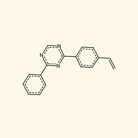 C=Cc1ccc(-c2ncnc(-c3ccccc3)n2)cc1